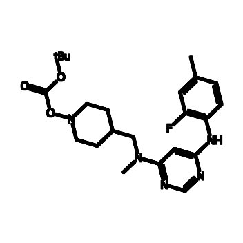 Cc1ccc(Nc2cc(N(C)CC3CCN(OC(=O)OC(C)(C)C)CC3)ncn2)c(F)c1